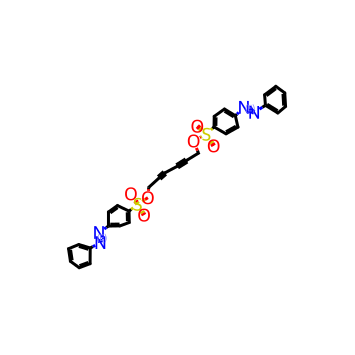 O=S(=O)(OCC#CC#CCOS(=O)(=O)c1ccc(/N=N/c2ccccc2)cc1)c1ccc(/N=N/c2ccccc2)cc1